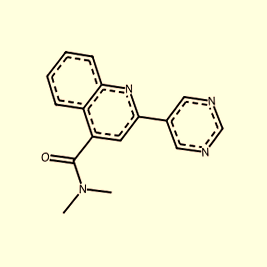 CN(C)C(=O)c1cc(-c2cncnc2)nc2ccccc12